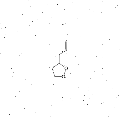 C=CCC1CCOO1